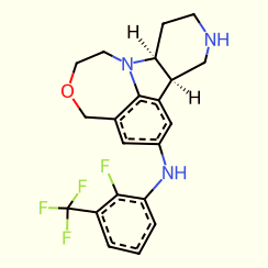 Fc1c(Nc2cc3c4c(c2)[C@@H]2CNCC[C@@H]2N4CCOC3)cccc1C(F)(F)F